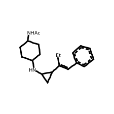 CC/C(=C\c1ccccc1)C1CC1NC1CCC(NC(C)=O)CC1